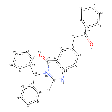 Cc1nc2ccc(CC(=O)c3ccccc3)cc2c(=O)n1C(c1ccccc1)c1ccccc1